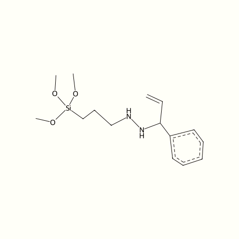 C=CC(NNCCC[Si](OC)(OC)OC)c1ccccc1